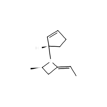 C/C=C1\C[C@@H](C)P1[C@]1(S)C=CCC1